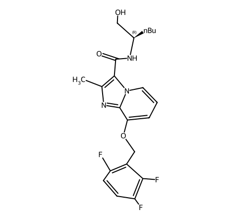 CCCC[C@H](CO)NC(=O)c1c(C)nc2c(OCc3c(F)ccc(F)c3F)cccn12